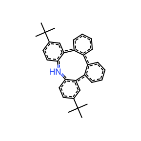 CC(C)(C)c1ccc2[nH]c3ccc(C(C)(C)C)cc3c3ccccc3c3ccccc3c2c1